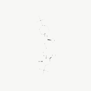 CC(C)(C)C1CCN(C(=O)CCCN2C(=O)CC(C(C)(C)C)C2=O)CC1